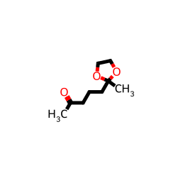 CC(=O)CCCC1(C)OCCO1